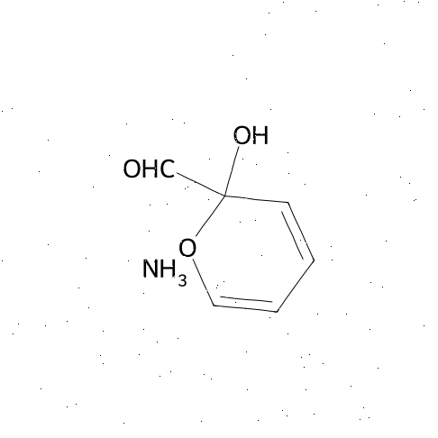 N.O=CC1(O)C=CC=CO1